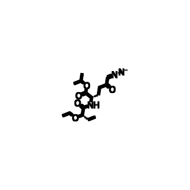 CCO[C@@H](CC)C(=O)N[C@@H](CCC(=O)C=[N+]=[N-])C(=O)OC(C)C